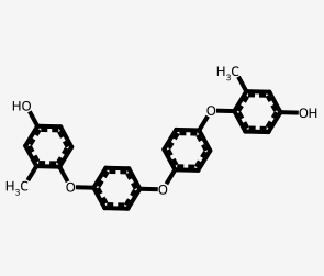 Cc1cc(O)ccc1Oc1ccc(Oc2ccc(Oc3ccc(O)cc3C)cc2)cc1